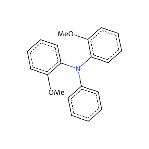 COc1ccccc1N(c1ccccc1)c1ccccc1OC